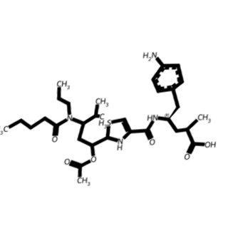 CCCCC(=O)N(CCC)C(CC(OC(C)=O)C1NC(C(=O)N[C@@H](Cc2ccc(N)cc2)CC(C)C(=O)O)=CS1)C(C)C